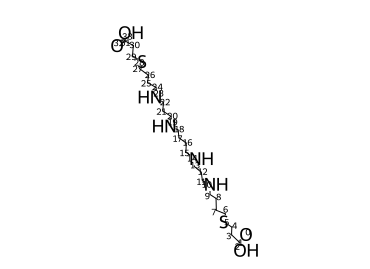 O=C(O)CCSCCCCNCCCNCCCCNCCCNCCCCSCCC(=O)O